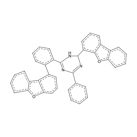 c1ccc(C2=NC(c3cccc4c3oc3ccccc34)NC(c3ccccc3-c3cccc4oc5ccccc5c34)=N2)cc1